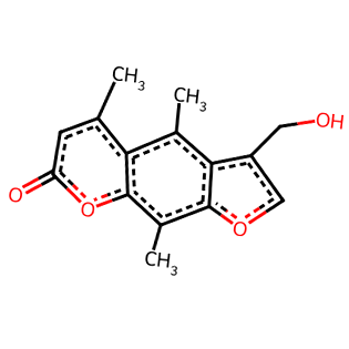 Cc1c2oc(=O)cc(C)c2c(C)c2c(CO)coc12